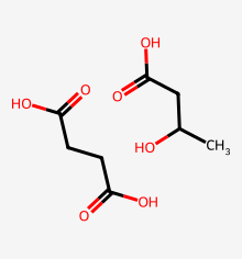 CC(O)CC(=O)O.O=C(O)CCC(=O)O